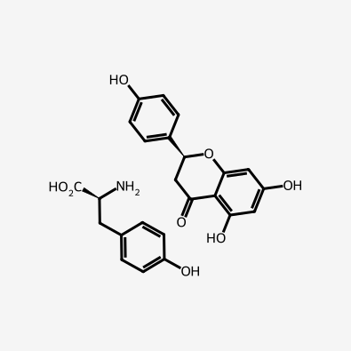 N[C@@H](Cc1ccc(O)cc1)C(=O)O.O=C1C[C@@H](c2ccc(O)cc2)Oc2cc(O)cc(O)c21